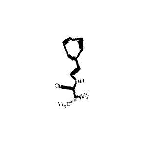 C[C@@H](N)C(=O)NC=Cc1ccccc1